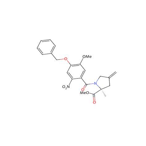 C=C1CN(C(=O)c2cc(OC)c(OCc3ccccc3)cc2[N+](=O)[O-])[C@](C)(C(=O)OC)C1